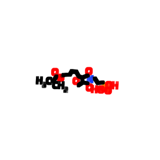 C=C(C)C(=O)OCC/C=C\C1OCC2C(=O)N(CCCP(=O)(O)O)C(=O)C12